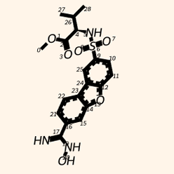 COC(=O)[C@H](NS(=O)(=O)c1ccc2oc3cc(C(=N)NO)ccc3c2c1)C(C)C